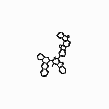 Cc1c(C2Cc3ccccc3-c3cc4ccccc4cc32)nc(-c2ccc3c(c2)oc2c3ccc3oc4ccccc4c32)c2sc3c(c12)C=CCC3